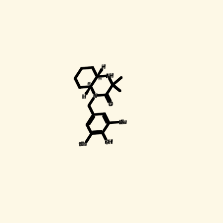 CC1(C)N[C@H]2CCCC[C@H]2N(Cc2cc(C(C)(C)C)c(O)c(C(C)(C)C)c2)C1=O